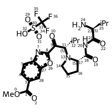 COC(=O)c1ccc2nc(C(=O)[C@H](C(C)C)N3CCC[C@H]3C(=O)NC(=O)[C@@H](N)C(C)C)oc2c1.O=S(=O)(O)C(F)(F)F